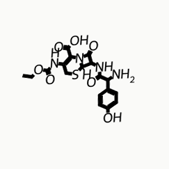 CCOC(=O)NC1=C(C(=O)O)N2C(=O)C(NC(=O)C(N)c3ccc(O)cc3)[C@H]2SC1